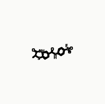 CC1Sc2ccc(C(=O)Nc3ccc(S(=O)(=O)F)cc3)cc2NC1=O